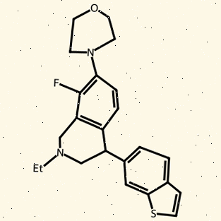 CCN1Cc2c(ccc(N3CCOCC3)c2F)C(c2ccc3ccsc3c2)C1